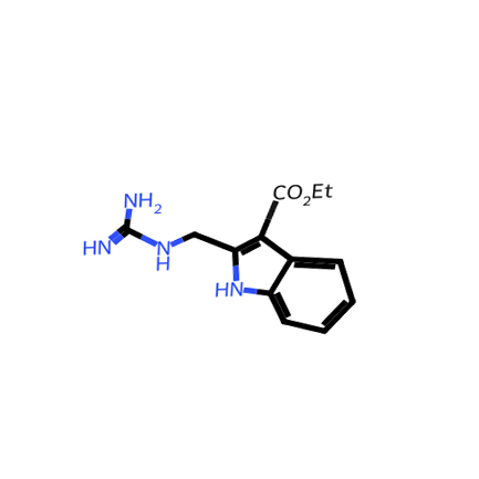 CCOC(=O)c1c(CNC(=N)N)[nH]c2ccccc12